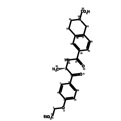 CCOC(=O)COc1ccc(C(=O)[C@H](C)NC(=O)c2ccc3c(c2)CCN(C(=O)O)C3)cc1